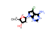 Nc1ncnc2c1c(Cl)cn2[C@H]1C[C@H](O)[C@@H](C=O)O1